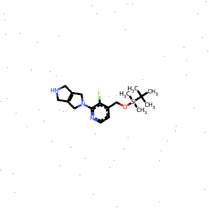 CC(C)(C)[Si](C)(C)OCc1ccnc(N2CC3=C(CNC3)C2)c1F